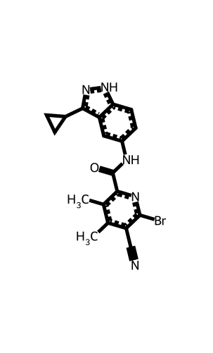 Cc1c(C(=O)Nc2ccc3[nH]nc(C4CC4)c3c2)nc(Br)c(C#N)c1C